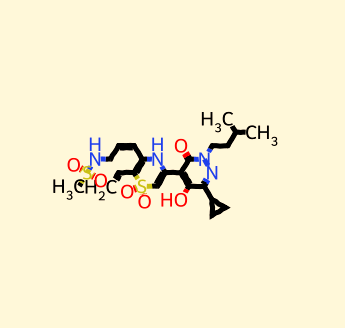 C=CC1=C(/C=C\CNS(C)(=O)=O)NC(c2c(O)c(C3CC3)nn(CCC(C)C)c2=O)=CS1(=O)=O